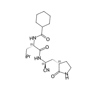 CC(C)C[C@H](NC(=O)C1CCCCC1)C(=O)N[C@H](C#N)C[C@@H]1CCNC1=O